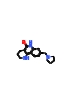 O=c1[nH]c2cc(CN3CCCC3)ccc2c2c1CCCN2